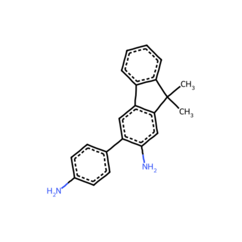 CC1(C)c2ccccc2-c2cc(-c3ccc(N)cc3)c(N)cc21